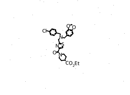 CCOC(=O)C1CCN(C(=O)c2csc(CN(Cc3ccc(Cl)cc3)Cc3ccc4c(c3)OCO4)n2)CC1